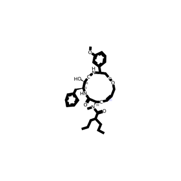 CCCC(CCC)C(=O)N(C)[C@H]1C/C=C\COCCC(c2cccc(OC)c2)NC[C@@H](O)[C@H](Cc2ccccc2)NC1=O